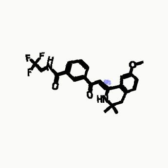 COc1ccc2c(c1)/C(=C/C(=O)c1cccc(C(=O)NCC(F)(F)F)c1)NC(C)(C)C2